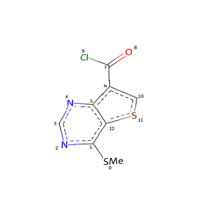 CSc1ncnc2c(C(=O)Cl)csc12